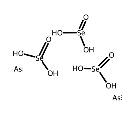 O=[Se](O)O.O=[Se](O)O.O=[Se](O)O.[As].[As]